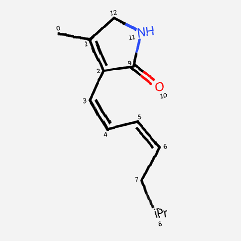 CC1=C(/C=C\C=C/CC(C)C)C(=O)NC1